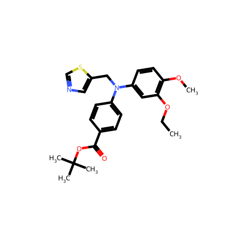 CCOc1cc(N(Cc2cncs2)c2ccc(C(=O)OC(C)(C)C)cc2)ccc1OC